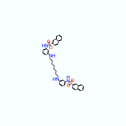 O=S(=O)(Nc1cccc(NCCCCCCCCNc2cccc(NS(=O)(=O)c3ccc4ccccc4c3)c2)c1)c1ccc2ccccc2c1